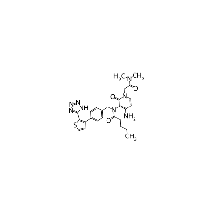 CCCCC(=O)N(Cc1ccc(-c2ccsc2-c2nnn[nH]2)cc1)c1c(N)ccn(CC(=O)N(C)C)c1=O